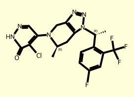 C[C@@H]1Cc2c(nnn2[C@H](C)c2ccc(F)cc2C(F)(F)F)CN1c1cn[nH]c(=O)c1Cl